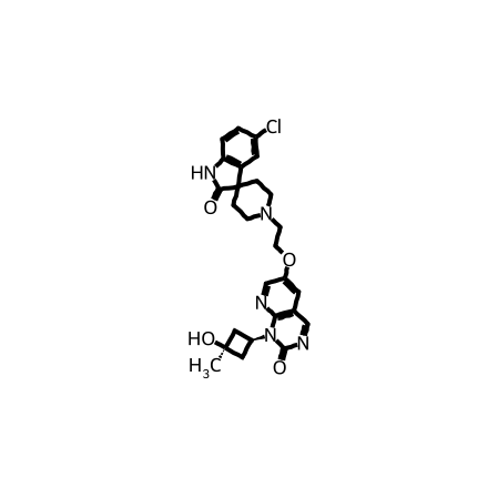 C[C@]1(O)C[C@@H](n2c(=O)ncc3cc(OCCN4CCC5(CC4)C(=O)Nc4ccc(Cl)cc45)cnc32)C1